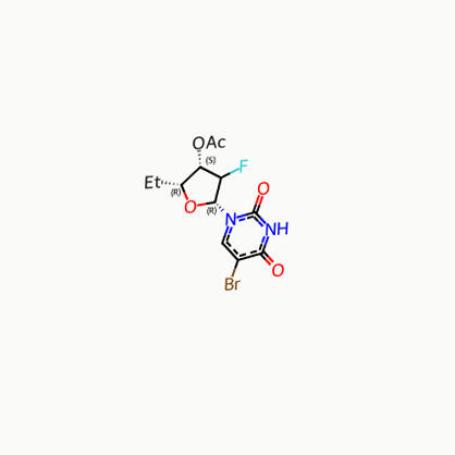 CC[C@H]1O[C@@H](n2cc(Br)c(=O)[nH]c2=O)C(F)[C@H]1OC(C)=O